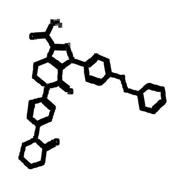 NC(=O)c1nn(-c2ccc(OCc3ccccc3)cc2)c2c1CCN(c1ccc(N3CCCCC3=O)cc1)C2=O